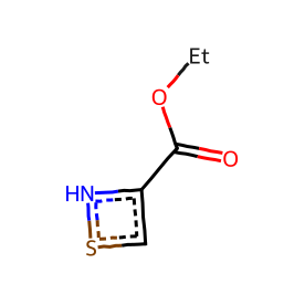 CCOC(=O)c1cs[nH]1